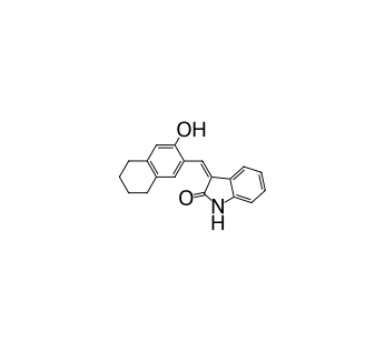 O=C1Nc2ccccc2C1=Cc1cc2c(cc1O)CCCC2